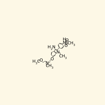 CCn1c(-c2ccc(NS(C)(=O)=O)cc2)c(N)c2ccc(OCCN(C)CCOC)cc21